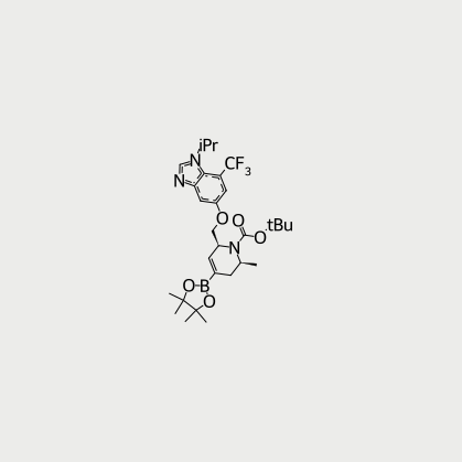 CC(C)n1cnc2cc(OC[C@@H]3C=C(B4OC(C)(C)C(C)(C)O4)C[C@H](C)N3C(=O)OC(C)(C)C)cc(C(F)(F)F)c21